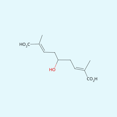 CC(=CCC(O)CC=C(C)C(=O)O)C(=O)O